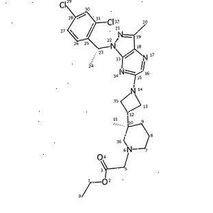 CCOC(=O)CN1CCC[C@](C)(C2CN(c3cnc4c(C)nn([C@H](C)c5ccc(Cl)cc5Cl)c4n3)C2)C1